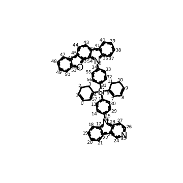 C1=CCCC([Si](C2=CC=CCC2)(c2ccc(-n3c4ccccc4c4cnccc43)cc2)c2ccc(-n3c4ccccc4c4ccc5c6ccccc6oc5c43)cc2)=C1